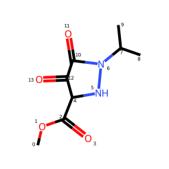 COC(=O)C1NN(C(C)C)C(=O)C1=O